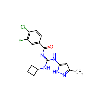 O=C(/N=C(\Nc1cc(C(F)(F)F)n[nH]1)NC1CCC1)c1ccc(Cl)c(F)c1